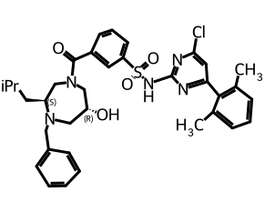 Cc1cccc(C)c1-c1cc(Cl)nc(NS(=O)(=O)c2cccc(C(=O)N3C[C@H](O)CN(Cc4ccccc4)[C@@H](CC(C)C)C3)c2)n1